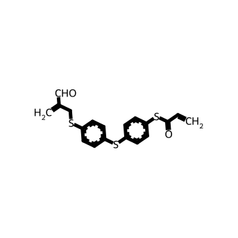 C=CC(=O)Sc1ccc(Sc2ccc(SCC(=C)C=O)cc2)cc1